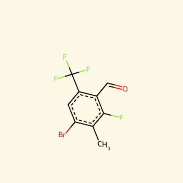 Cc1c(Br)cc(C(F)(F)F)c(C=O)c1F